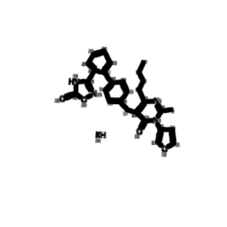 CCCCc1nc(C)n(-c2ccoc2)c(=O)c1Cc1ccc(-c2ccccc2-c2noc(=O)[nH]2)cc1.[KH]